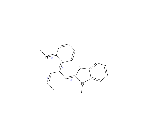 C\C=C/C(/C=C1\Sc2ccccc2N1C)=C1/C=CC=C/C1=N\C